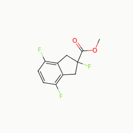 COC(=O)C1(F)Cc2c(F)ccc(F)c2C1